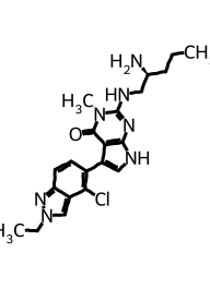 CCC[C@H](N)CNc1nc2[nH]cc(-c3ccc4nn(CC)cc4c3Cl)c2c(=O)n1C